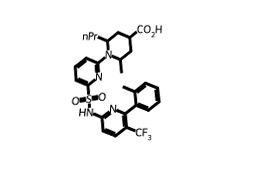 CCCC1CC(C(=O)O)CC(C)N1c1cccc(S(=O)(=O)Nc2ccc(C(F)(F)F)c(-c3ccccc3C)n2)n1